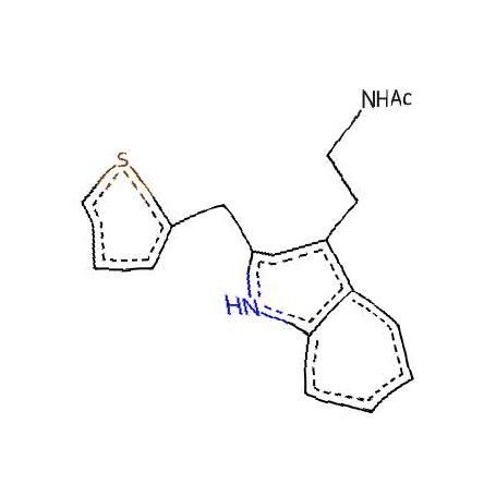 CC(=O)NCCc1c(Cc2cccs2)[nH]c2ccccc12